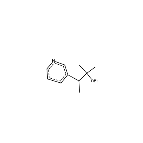 CCCC(C)(C)C(C)c1cccnc1